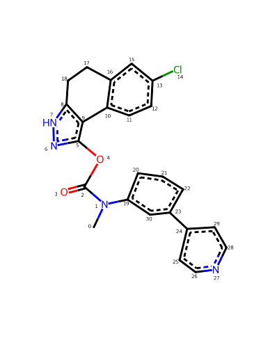 CN(C(=O)Oc1n[nH]c2c1-c1ccc(Cl)cc1CC2)c1cccc(-c2ccncc2)c1